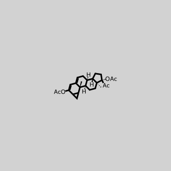 CC(=O)OC1=CC2=CC[C@@H]3[C@@H](CC[C@@]4(C)[C@H]3CC[C@@]4(OC(C)=O)C(C)=O)[C@]2(C)C2CC12